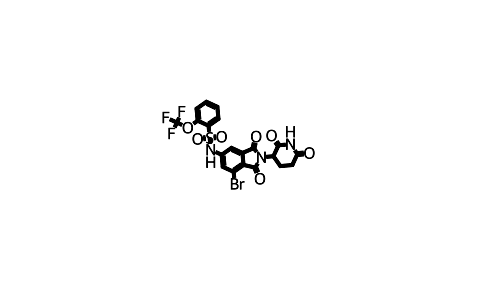 O=C1CCC(N2C(=O)c3cc(NS(=O)(=O)c4ccccc4OC(F)(F)F)cc(Br)c3C2=O)C(=O)N1